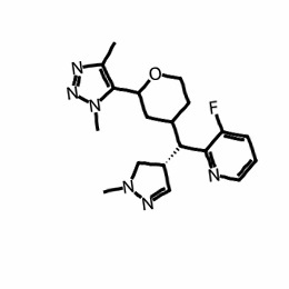 Cc1nnn(C)c1C1CC(C(c2ncccc2F)[C@@H]2C=NN(C)C2)CCO1